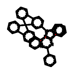 c1ccc(-c2nc(-c3ccccc3)nc(-c3ccc4c(c3)C3(c5ccccc5-4)c4ccccc4-c4ccc(-n5c(-c6ccccc6)nc6ccccc65)cc43)n2)cc1